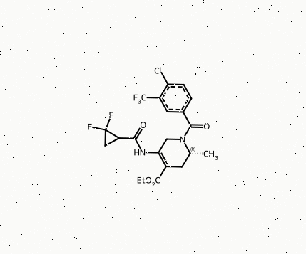 CCOC(=O)C1=C(NC(=O)C2CC2(F)F)CN(C(=O)c2ccc(Cl)c(C(F)(F)F)c2)[C@H](C)C1